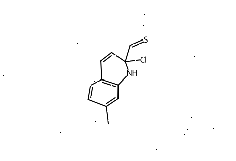 Cc1ccc2c(c1)NC(Cl)(C=S)C=C2